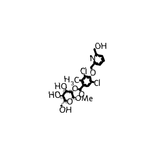 CO[C@H]1O[C@H](CO)[C@@H](O)[C@H](O)[C@H]1OC(=O)c1cc(Cl)c(OCc2cccc(CO)n2)c(Cl)c1C